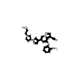 N#Cc1cnn2cc(-c3cnn([C@@H]4CCN(CCO)C4)c3)cc(Sc3ccccc3N)c12